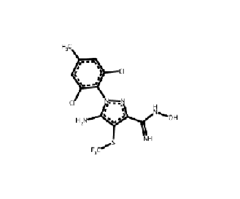 N=C(NO)c1nn(-c2c(Cl)cc(C(F)(F)F)cc2Cl)c(N)c1SC(F)(F)F